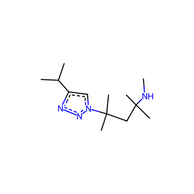 CNC(C)(C)CC(C)(C)n1cc(C(C)C)nn1